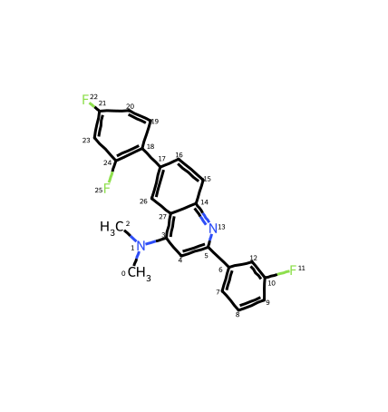 CN(C)c1cc(-c2cccc(F)c2)nc2ccc(-c3ccc(F)cc3F)cc12